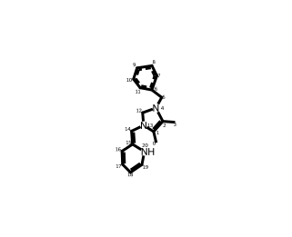 CC1=C(C)N(Cc2ccccc2)CN1/C=C1/C=CC=CN1